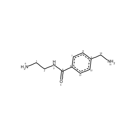 NCCNC(=O)c1ccc(CN)cc1